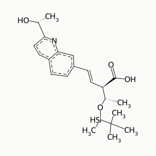 C[C@H](O[SiH](C)C(C)(C)C)[C@@H](/C=C/c1ccc2ccc([C@@H](C)O)nc2c1)C(=O)O